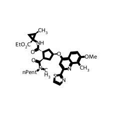 CCCCCN(C)C(=O)[C@@H]1C[C@H](Oc2cc(-c3nccs3)nc3c(C)c(OC)ccc23)C[C@H]1C(=O)N[C@]1(C(=O)OCC)C[C@H]1C